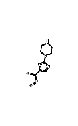 N=NC(=N)c1cnc(N2CCNCC2)s1